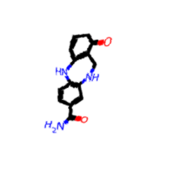 NC(=O)c1ccc2c(c1)NCC1=C(C=CCC1=O)N2